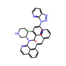 O=C(c1ccc(-n2nnc3cccnc32)cc1F)N(c1nccc2cccc(/C=C/c3cccnc3)c12)[C@@H]1CCCNC1